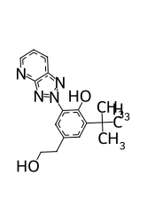 CC(C)(C)c1cc(CCO)cc(-n2nc3cccnc3n2)c1O